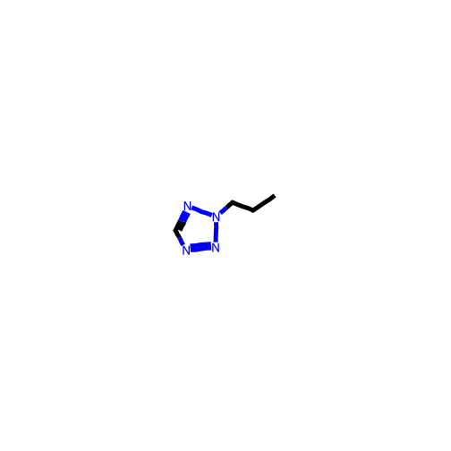 CCCn1ncnn1